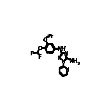 CC(C)Oc1cc(Nc2nc(N)n(-c3ccccn3)n2)ccc1OC(F)F